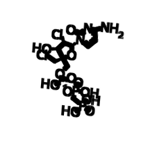 Nc1ccn([C@@H]2O[C@](CCl)(COP(=O)(O)OP(=O)(O)CP(=O)(O)O)[C@@H](O)[C@H]2Cl)c(=O)n1